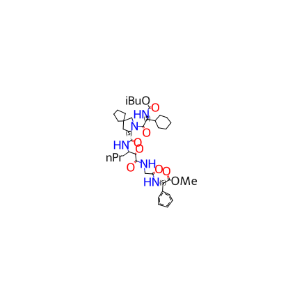 CCCC(NC(=O)[C@@H]1CC2(CCCC2)CN1C(=O)[C@@H](NC(=O)OCC(C)C)C1CCCCC1)C(=O)C(=O)NCC(=O)N[C@H](C(=O)OC)c1ccccc1